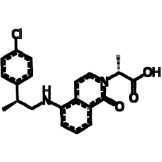 C[C@H](CNc1cccc2c(=O)n([C@H](C)C(=O)O)ccc12)c1ccc(Cl)cc1